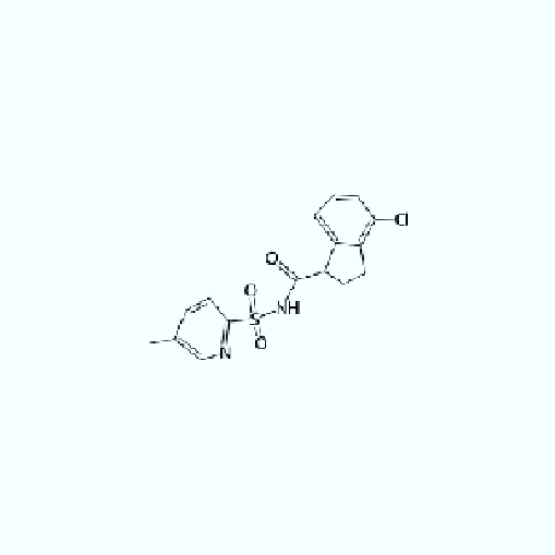 Cc1ccc(S(=O)(=O)NC(=O)C2CCc3c(Cl)cccc32)nc1